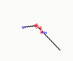 CCCCCCCCCCCCCCCCCCNC(=O)OCC(COP(=O)([O-])OCCCCCCCCCC[N+](C)(C)C)OC